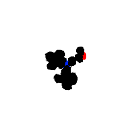 c1ccc(C2(c3ccc(N(c4ccc(-c5ccc6oc7ccccc7c6c5)cc4)c4ccc(C5(c6ccccc6)c6ccccc6-c6ccccc65)cc4)cc3)c3ccccc3-c3ccccc32)cc1